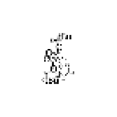 CC(C)(C)COC(=O)C(C)(C(=O)OCC(C)(C)C)C1CCCC1